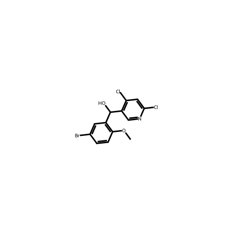 COc1ccc(Br)cc1C(O)c1cnc(Cl)cc1Cl